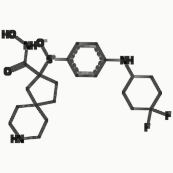 O=C(NO)C1([S+]([O-])c2ccc(NC3CCC(F)(F)CC3)cc2)CCC2(CCNCC2)C1